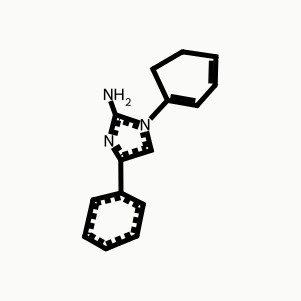 Nc1nc(-c2ccccc2)cn1C1=CC=CCC1